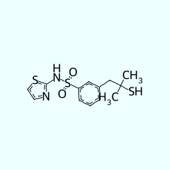 CC(C)(S)Cc1cccc(S(=O)(=O)Nc2nccs2)c1